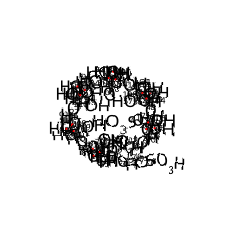 O=S(=O)(O)OC[C@H]1O[C@@H]2O[C@H]3[C@H](O)[C@@H](O)[C@@H](O[C@H]4[C@H](O)[C@@H](O)[C@@H](O[C@H]5[C@H](O)[C@@H](O)[C@@H](O[C@H]6[C@H](O)[C@@H](O)[C@@H](O[C@H]7[C@H](O)[C@@H](O)[C@@H](O[C@H]8[C@H](O)[C@@H](O)[C@@H](O[C@H]1[C@H](O)[C@H]2O)O[C@@H]8CO)O[C@@H]7CO)O[C@@H]6CO)O[C@@H]5CO)O[C@@H]4CO)O[C@@H]3COS(=O)(=O)O